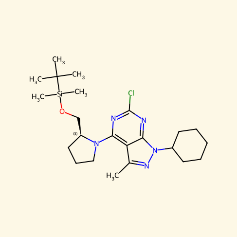 Cc1nn(C2CCCCC2)c2nc(Cl)nc(N3CCC[C@H]3CO[Si](C)(C)C(C)(C)C)c12